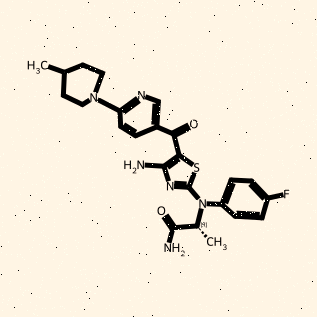 CC1CCN(c2ccc(C(=O)c3sc(N(c4ccc(F)cc4)[C@H](C)C(N)=O)nc3N)cn2)CC1